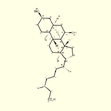 C[C@H](CCCN(C)CC(=O)O)[C@H]1CC[C@H]2[C@@H]3[C@H](O)C[C@@H]4C[C@H](O)CC[C@]4(C)[C@H]3CC[C@]12C